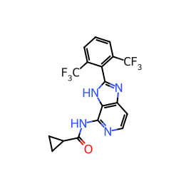 O=C(Nc1nccc2nc(-c3c(C(F)(F)F)cccc3C(F)(F)F)[nH]c12)C1CC1